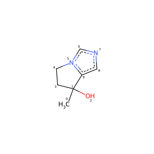 CC1(O)CCn2cncc21